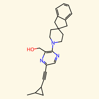 CC1CC1C#Cc1cnc(N2CCC3(CC2)Cc2ccccc2C3)c(CO)n1